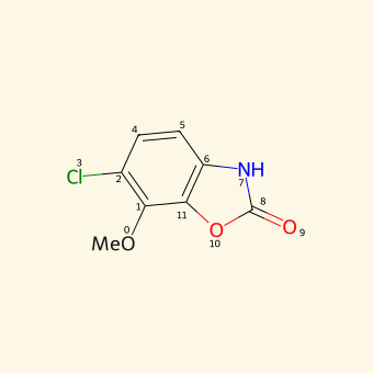 COc1c(Cl)ccc2[nH]c(=O)oc12